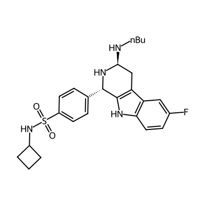 CCCCN[C@H]1Cc2c([nH]c3ccc(F)cc23)[C@H](c2ccc(S(=O)(=O)NC3CCC3)cc2)N1